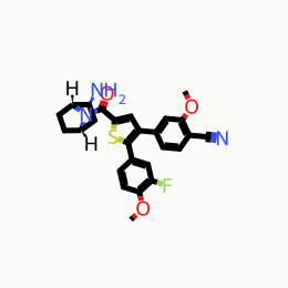 COc1ccc(-c2sc(C(=O)N3[C@@H]4CC[C@H]3[C@@H](N)C4)cc2-c2ccc(C#N)c(OC)c2)cc1F